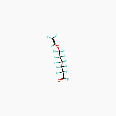 O=C(F)C(F)(F)C(F)(F)C(F)(F)C(F)(F)C(F)(F)OC(F)=C(F)F